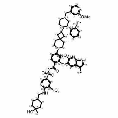 COc1cc(CN2CCN(C3CC4(CCN(c5ccc(C(=O)NS(=O)(=O)c6cnc(NCC7CCC(C)(O)CC7)c([N+](=O)[O-])c6)c(Oc6cc7c(F)c[nH]c7nc6OC)c5)CC4)C3)[C@H](c3ccccc3C(C)C)C2)ccn1